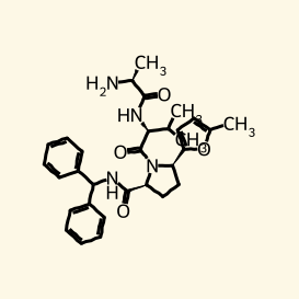 Cc1ccc([C@H]2CC[C@@H](C(=O)NC(c3ccccc3)c3ccccc3)N2C(=O)[C@@H](NC(=O)[C@H](C)N)C(C)C)o1